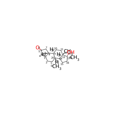 C[C@@H]1CC2=CC(=O)C[C@@H]2[C@H]2CC[C@@]3(C)[C@@H](CC[C@]3(C)O)[C@@H]21